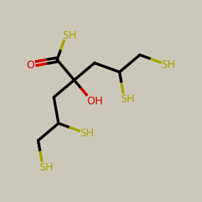 O=C(S)C(O)(CC(S)CS)CC(S)CS